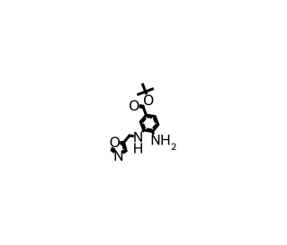 CC(C)(C)OC(=O)c1ccc(N)c(NCc2cnco2)c1